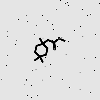 COC(=O)CC1(C)CCC(C)(C)CC1